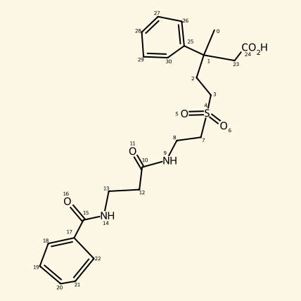 CC(CCS(=O)(=O)CCNC(=O)CCNC(=O)c1ccccc1)(CC(=O)O)c1ccccc1